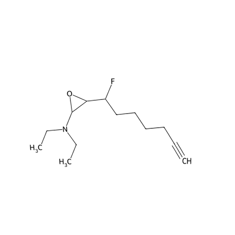 C#CCCCCC(F)C1OC1N(CC)CC